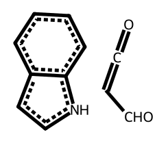 O=C=CC=O.c1ccc2[nH]ccc2c1